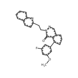 COc1cc(F)cc(-c2cccc3cnn(CCc4ccc5ccccc5n4)c(=O)c23)c1